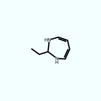 CCC1NC=CC=CN1